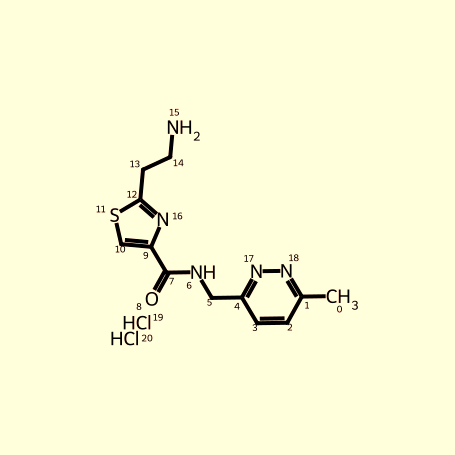 Cc1ccc(CNC(=O)c2csc(CCN)n2)nn1.Cl.Cl